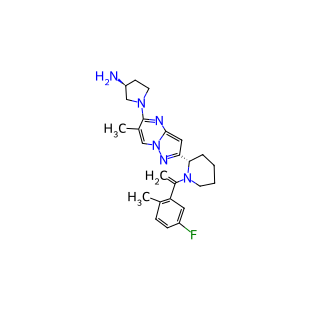 C=C(c1cc(F)ccc1C)N1CCCC[C@H]1c1cc2nc(N3CC[C@H](N)C3)c(C)cn2n1